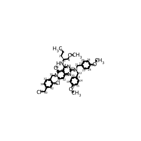 CCC[C@@H](COC)Nc1nc(N(Cc2ccc(OC)cc2)Cc2ccc(OC)cc2)nc2ccn(Cc3ccc(CCl)cc3Cl)c(=O)c12